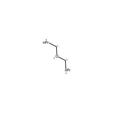 CC[CH]COCCCC